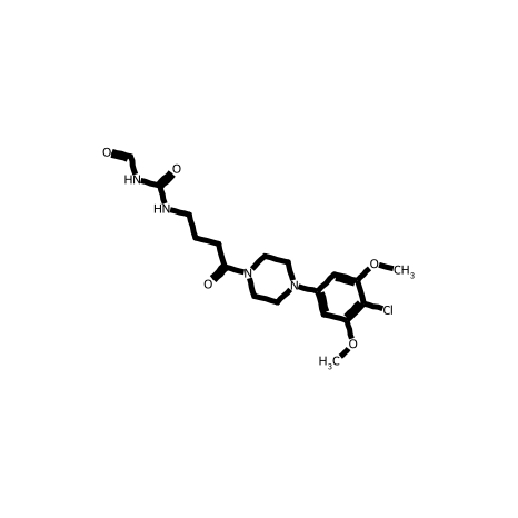 COc1cc(N2CCN(C(=O)CCCNC(=O)NC=O)CC2)cc(OC)c1Cl